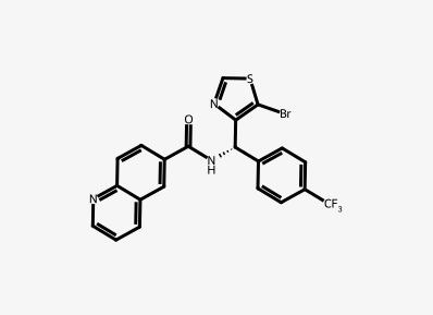 O=C(N[C@@H](c1ccc(C(F)(F)F)cc1)c1ncsc1Br)c1ccc2ncccc2c1